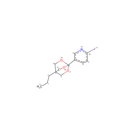 CCCC12COC(c3ccc(I)nc3)(OC1)OC2